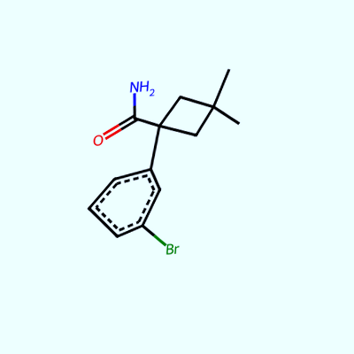 CC1(C)CC(C(N)=O)(c2cccc(Br)c2)C1